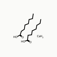 CCCCCCCC(=O)O.CCCCCCCC(=O)O.[CaH2]